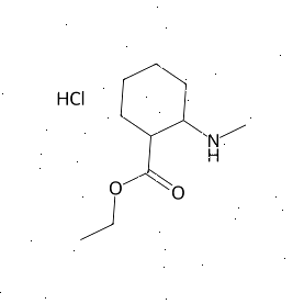 CCOC(=O)C1CCCCC1NC.Cl